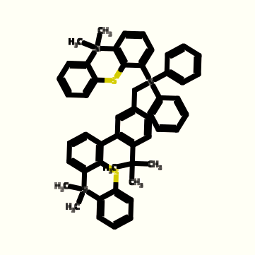 CC(C)(C)c1ccc(C[Si](c2ccccc2)(c2ccccc2)c2cccc3c2Sc2ccccc2[Si]3(C)C)cc1-c1cccc2c1Sc1ccccc1[Si]2(C)C